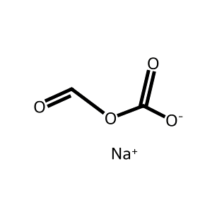 O=COC(=O)[O-].[Na+]